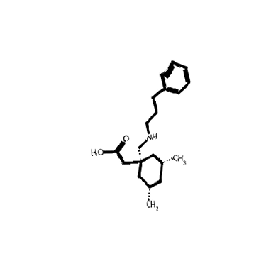 C[C@@H]1C[C@H](C)C[C@@](CNCCCc2ccccc2)(CC(=O)O)C1